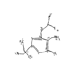 Cc1cc(C(F)(C(F)(F)F)C(F)(F)F)cc(OC(F)F)c1N